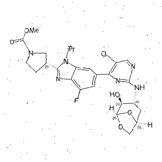 COC(=O)N1CC[C@@H](c2nc3c(F)cc(-c4nc(N[C@@H]5C[C@H]6CO[C@H](O6)[C@H]5O)ncc4Cl)cc3n2C(C)C)C1